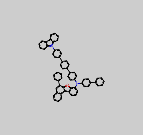 c1ccc(-c2ccc(N(c3ccc(-c4ccc(-c5ccc(-n6c7ccccc7c7ccccc76)cc5)cc4)cc3)c3cccc4c3oc3c(-c5ccccc5)cc5ccccc5c34)cc2)cc1